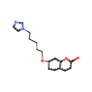 O=c1ccc2ccc(OCCCCCn3ccnc3)cc2o1